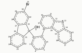 OC1(c2ccccc2-c2cccc3sc4ccccc4c23)c2ccccc2-c2ccc(Br)cc21